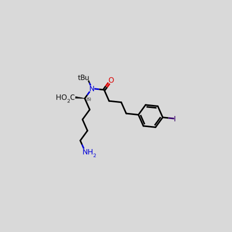 CC(C)(C)N(C(=O)CCCc1ccc(I)cc1)[C@@H](CCCCN)C(=O)O